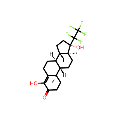 C[C@]12CCC(=O)C(O)=C1CC[C@@H]1[C@@H]2CC[C@@]2(C)[C@H]1CC[C@@]2(O)C(F)(F)C(F)(F)F